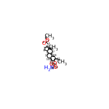 CCOC(=O)C[C@H]1CCC2C3CCc4cc(OS(N)(=O)=O)c(CC)cc4C3CC[C@@]21C